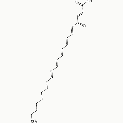 CCCCCCCCC=CC=CC=CC=CC=CC(=O)C=CC(=O)O